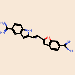 N=C(N)c1ccc2[nH]c(/C=C/c3cc4ccc(C(=N)N)cc4o3)cc2c1